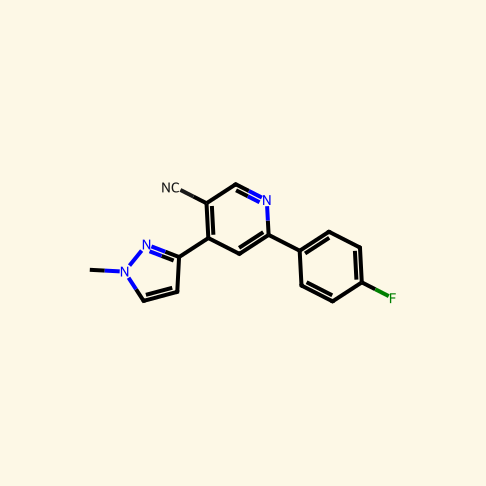 Cn1ccc(-c2cc(-c3ccc(F)cc3)ncc2C#N)n1